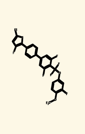 CCc1cc(F)c(-c2ccc(-c3cc(F)c(C(F)(F)Oc4ccc(OC(F)(F)F)c(F)c4)c(F)c3)cc2)s1